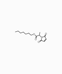 CCCCCCCOC(=O)C(C)N1C(=O)C=CC1=O